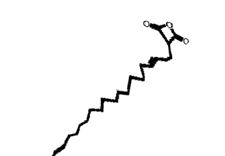 CCCCCCCCCCCCCCCC/C=C/CC1C(=O)OC1=O